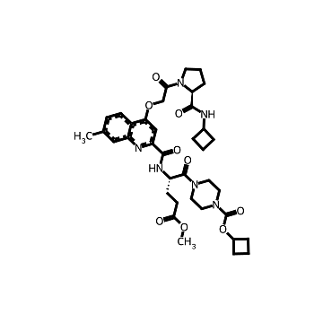 COC(=O)CC[C@H](NC(=O)c1cc(OCC(=O)N2CCC[C@H]2C(=O)NC2CCC2)c2ccc(C)cc2n1)C(=O)N1CCN(C(=O)OC2CCC2)CC1